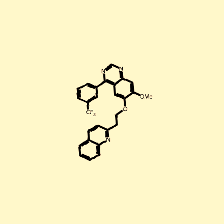 COc1cc2ncnc(-c3cccc(C(F)(F)F)c3)c2cc1OCCc1ccc2ccccc2n1